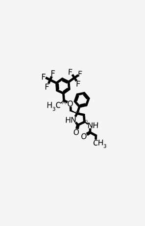 CCC(=O)N[C@@H]1C[C@@](CO[C@H](C)c2cc(C(F)(F)F)cc(C(F)(F)F)c2)(c2ccccc2)NC1=O